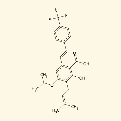 CC(C)=CCc1c(OC(C)C)cc(C=Cc2ccc(C(F)(F)F)cc2)c(C(=O)O)c1O